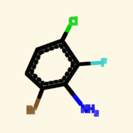 Nc1c(Br)ccc(Cl)c1F